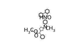 CCOC(=O)C(c1ccccc1)C1CCC(N(C)c2ccc(NC(=O)c3ccccc3-c3ccccc3)cc2)C1